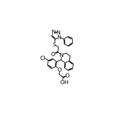 O=C(O)COc1ccc(Cl)cc1C1c2ccccc2CCN1C(=O)CSc1cnnn1-c1ccccc1